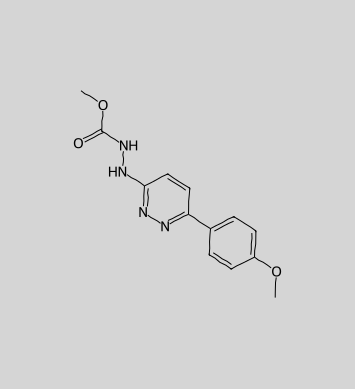 COC(=O)NNc1ccc(-c2ccc(OC)cc2)nn1